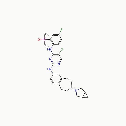 CP(C)(=O)c1cc(F)ccc1Nc1nc(Nc2ccc3c(c2)CC[C@H](N2CC4CC4C2)CC3)ncc1Cl